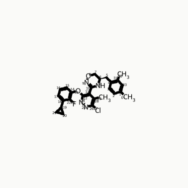 Cc1ccc(C[C@@H]2CON=C(c3c(Oc4cccc(C5CC5)c4F)nnc(Cl)c3C)N2)c(C)c1